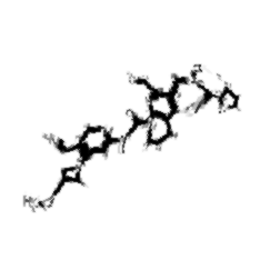 COC1CN(c2cc(NC(=O)N3CCCc4cc(CN(C)C(=O)[C@H]5CCCO5)c(C=O)nc43)ncc2C#N)C1